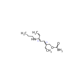 BC(=O)OC/C(C=C)=C/C=C(\C=C)NCCC